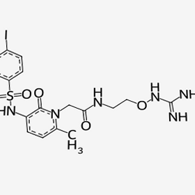 Cc1ccc(NS(=O)(=O)c2ccc(I)cc2)c(=O)n1CC(=O)NCCONC(=N)N